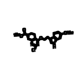 COc1ccc2c(CCOc3nc(Cl)nc4c3CCN(C(=O)OC(C)(C)C)C4)c[nH]c2c1